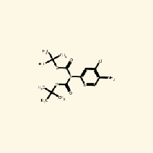 CC(C)(C)OC(=O)N(C(=O)OC(C)(C)C)c1cc(Cl)c(N)cn1